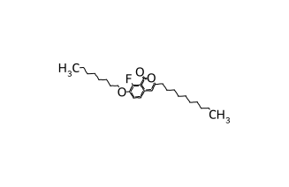 CCCCCCCCCCc1cc2ccc(OCCCCCCCC)c(F)c2c(=O)o1